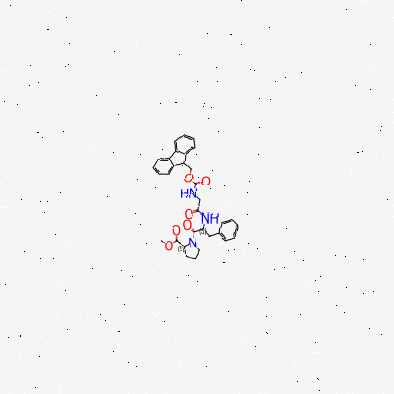 COC(=O)[C@@H]1CCCN1C(=O)[C@H](Cc1ccccc1)NC(=O)CNC(=O)OCC1c2ccccc2-c2ccccc21